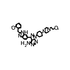 COCCN1CCN([C@H]2CC[C@@H](n3nc(-c4ccc5nc(Cc6ccccc6OC)[nH]c5c4)c4c(N)ncnc43)CC2)CC1